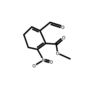 COC(=O)C1=C([N+](=O)[O-])CCC=C1C=O